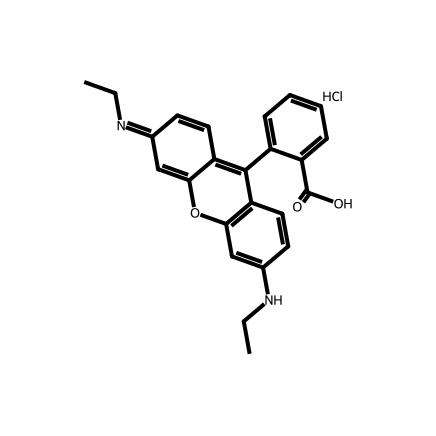 CCN=c1ccc2c(-c3ccccc3C(=O)O)c3ccc(NCC)cc3oc-2c1.Cl